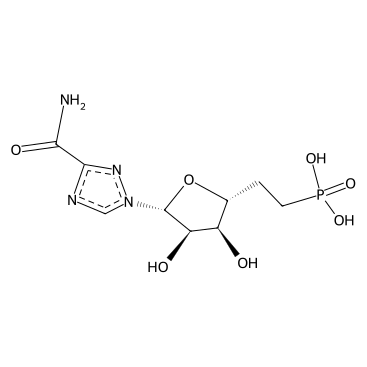 NC(=O)c1ncn([C@@H]2O[C@H](CCP(=O)(O)O)[C@@H](O)[C@H]2O)n1